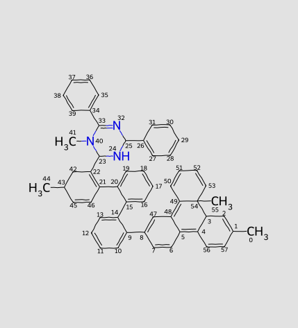 CC1=CC2C(=c3ccc(-c4ccccc4-c4ccccc4C4=C(C5NC(c6ccccc6)N=C(c6ccccc6)N5C)CC(C)C=C4)cc3=C3C=CC=CC32C)C=C1